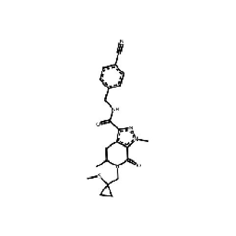 CSC1(CN2C(=O)c3c(c(C(=O)NCc4ccc(C#N)cc4)nn3C)CC2C)CC1